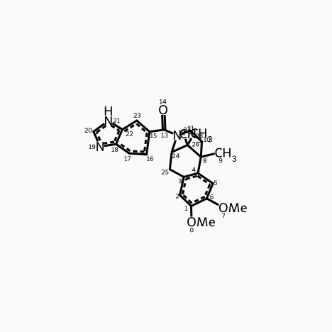 COc1cc2c(cc1OC)C1(C)CCN(C(=O)c3ccc4nc[nH]c4c3)C(C2)C1(C)C